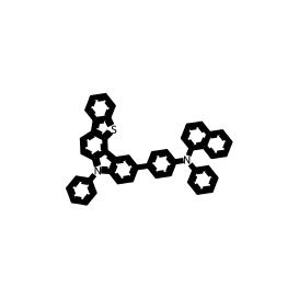 c1ccc(N(c2ccc(-c3ccc4c(c3)c3c5sc6ccccc6c5ccc3n4-c3ccccc3)cc2)c2cccc3ccccc23)cc1